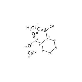 O.O=C([O-])C1CCCCC1C(=O)[O-].[Ca+2]